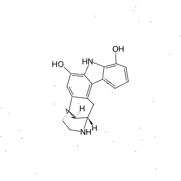 Oc1cccc2c1[nH]c1c(O)cc3c(c12)C[C@@H]1NCC[C@]32CCCC[C@H]12